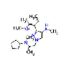 C=C/C(=C(\C)NC)c1nn(CC(=C)N(C)C2CCCC2)cc1NC